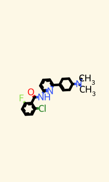 CN(C)C1CC=C(c2cccc(NC(=O)c3c(F)cccc3Cl)n2)CC1